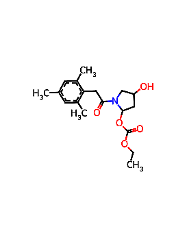 CCOC(=O)OC1CC(O)CN1C(=O)Cc1c(C)cc(C)cc1C